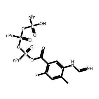 CCCP(=O)(O)OP(=O)(CCC)OP(=O)(CCC)OC(=O)c1cc(NC=N)c(C)cc1F